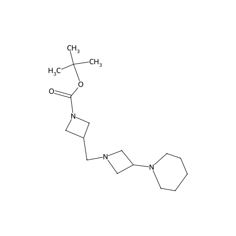 CC(C)(C)OC(=O)N1CC(CN2CC(N3CCCCC3)C2)C1